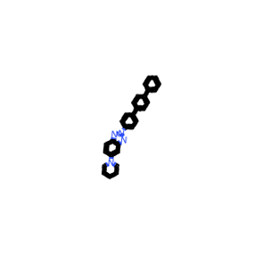 c1ccc(-c2ccc(-c3ccc(-n4nc5ccc(N6CCCCC6)cc5n4)cc3)cc2)cc1